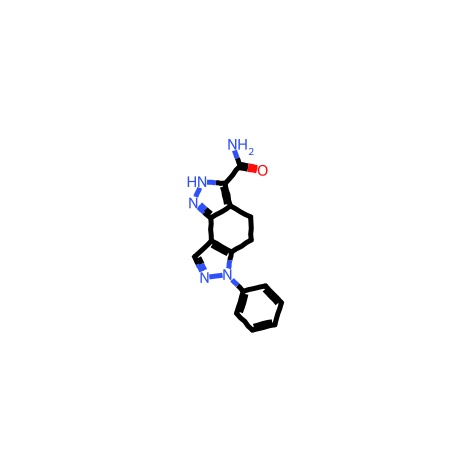 NC(=O)c1[nH]nc2c1CCc1c-2cnn1-c1ccccc1